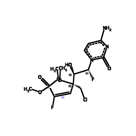 CO[C@@](/C=C(/F)P(=O)(OC)OC)(CCl)[C@@H](O)[C@@H](F)n1ccc(N)nc1=O